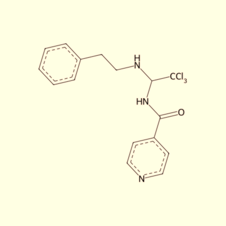 O=C(NC(NCCc1ccccc1)C(Cl)(Cl)Cl)c1ccncc1